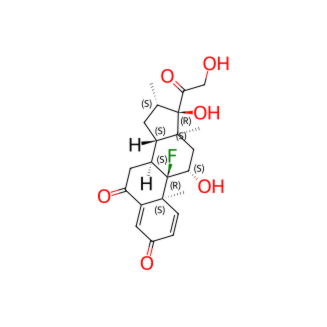 C[C@H]1C[C@H]2[C@@H]3CC(=O)C4=CC(=O)C=C[C@]4(C)[C@@]3(F)[C@@H](O)C[C@]2(C)[C@@]1(O)C(=O)CO